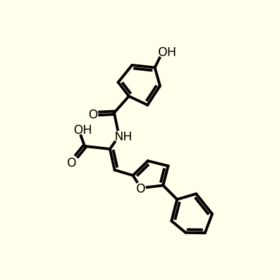 O=C(O)/C(=C/c1ccc(-c2ccccc2)o1)NC(=O)c1ccc(O)cc1